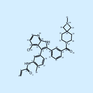 C=CC(=O)Nc1cc(-c2c(-c3cccc(C(=O)N4CCC5(CC4)CN(C)C5)c3)[nH]c3nccc(Cl)c23)ccc1C